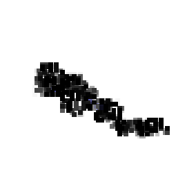 Cc1ccnc(N(C=O)/C(S)=N\c2sc(C)c(C#CCNC(=O)/C(N)=C/C=C(\N)C(=O)NCCCn3cc(CN4CCNC(C)C4)cn3)c2C)c1